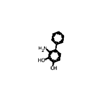 Nc1c(-c2ccccc2)ccc(O)c1O